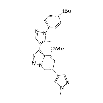 COc1cc(-c2cnn(C)c2)cn2ncc(-c3cnn(-c4ccc(C(C)(C)C)cc4)c3C)c12